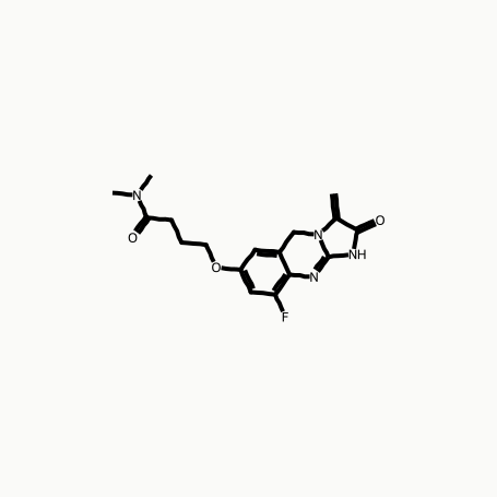 C=c1c(=O)[nH]c2n1Cc1cc(OCCCC(=O)N(C)C)cc(F)c1N=2